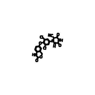 N#CC1C(=O)NC(=O)NN1c1cc(Cl)c(Oc2ccc3c(c2)COC(=O)N3)c(Cl)c1